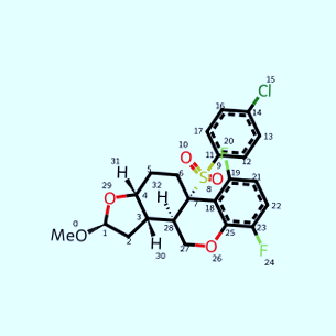 CO[C@@H]1C[C@@H]2[C@@H](CC[C@@]3(S(=O)(=O)c4ccc(Cl)cc4)c4c(F)ccc(F)c4OC[C@@H]23)O1